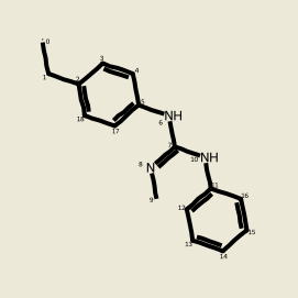 [CH2]Cc1ccc(NC(=NC)Nc2ccccc2)cc1